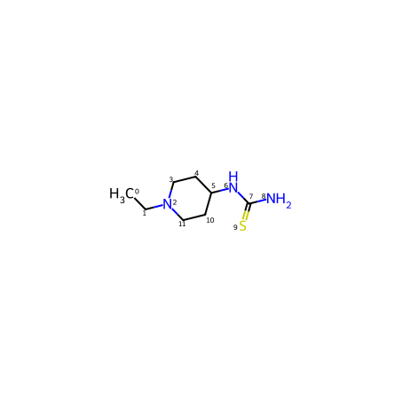 CCN1CCC(NC(N)=S)CC1